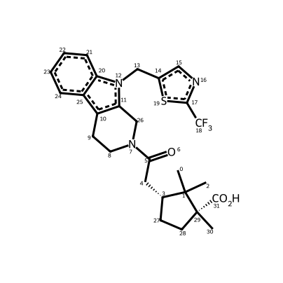 CC1(C)[C@@H](CC(=O)N2CCc3c(n(Cc4cnc(C(F)(F)F)s4)c4ccccc34)C2)CC[C@@]1(C)C(=O)O